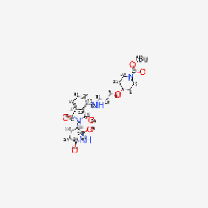 CC(C)(C)OC(=O)N1CCC(OCCCNc2cccc3c2C(=O)N(C2CCC(=O)NC2=O)C3=O)CC1